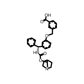 O=C(N[C@@H](c1ccccc1)c1cccc(OCc2cccc(C(=O)O)c2)c1)OC1CN2CCC1CC2